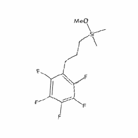 CO[Si](C)(C)CCCc1c(F)c(F)c(F)c(F)c1F